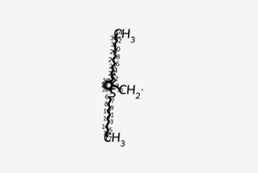 [CH2]CCc1c(SCCCCCCCCCCCC)cccc1SCCCCCCCCCCCC